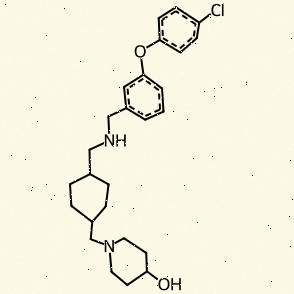 OC1CCN(CC2CCC(CNCc3cccc(Oc4ccc(Cl)cc4)c3)CC2)CC1